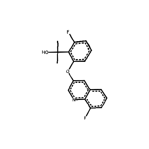 CC(C)(O)c1c(F)cccc1Oc1cnc2c(F)cccc2c1